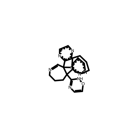 [C]1=NCCCC(C2=NC=CON2)(c2cccnn2)C1(c1cnccn1)N1CCCCCC1